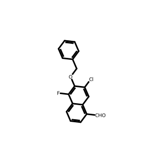 O=Cc1cccc2c(F)c(OCc3ccccc3)c(Cl)cc12